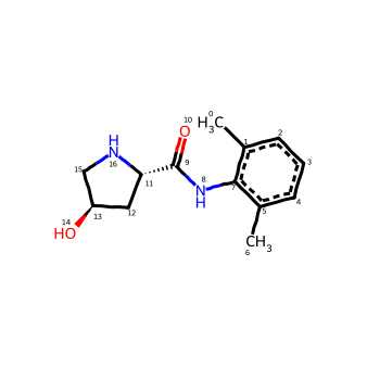 Cc1cccc(C)c1NC(=O)[C@@H]1C[C@@H](O)CN1